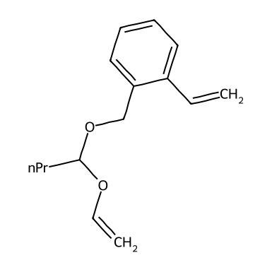 C=COC(CCC)OCc1ccccc1C=C